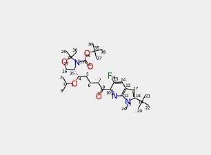 CC(C)OC(CCCC(=O)c1nc2c(cc1F)cc(C(C)(C)C)n2C)[C@@H]1COC(C)(C)N1C(=O)OC(C)(C)C